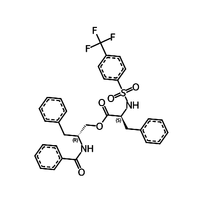 O=C(N[C@@H](COC(=O)[C@H](Cc1ccccc1)NS(=O)(=O)c1ccc(C(F)(F)F)cc1)Cc1ccccc1)c1ccccc1